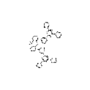 CC1(C)c2cccc(-c3cccc(-c4nc(-c5ccccc5)nc(-c5ccccc5)n4)c3)c2Cc2c(-c3cccc(-c4nc(-c5ccccc5)nc(-c5ccccc5)n4)c3)cccc21